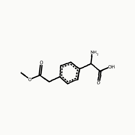 COC(=O)Cc1ccc(C(N)C(=O)O)cc1